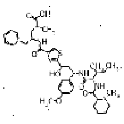 CC[C@H](C)[C@H](NC(=O)C1CCCCN1C)C(=O)N[C@H](C[C@@H](O)c1nc(C(=O)N[C@@H](Cc2ccccc2)C[C@H](C)C(=O)O)cs1)c1ccc(OC)cc1